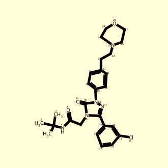 CC(C)(C)NC(=O)Cn1c(-c2cccc(Cl)c2)nn(-c2ccc(CCN3CCOCC3)cc2)c1=O